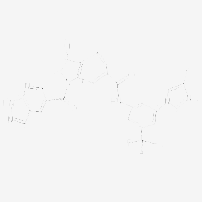 Cc1cn(-c2cc(NC(=O)c3ccc4c(c3)N(C(=O)c3cnc5[nH]ncc5c3)CC4C)cc(C(F)(F)F)c2)cn1